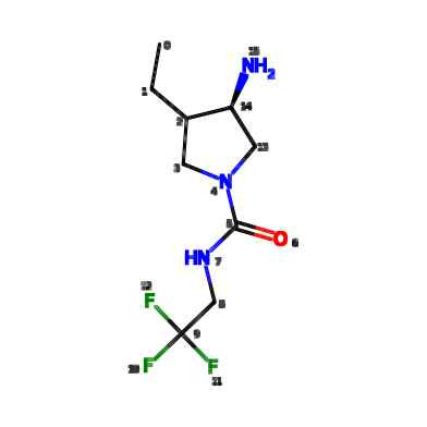 CCC1CN(C(=O)NCC(F)(F)F)C[C@@H]1N